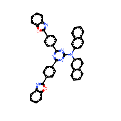 c1ccc2cc(N(c3ccc4ccccc4c3)c3nc(-c4ccc(-c5nc6ccccc6o5)cc4)nc(-c4ccc(-c5nc6ccccc6o5)cc4)n3)ccc2c1